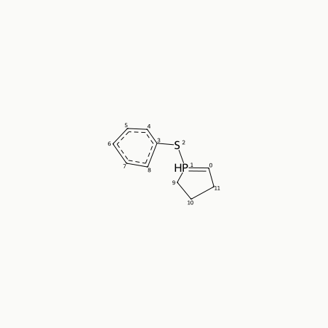 C1=[PH](Sc2ccccc2)CCC1